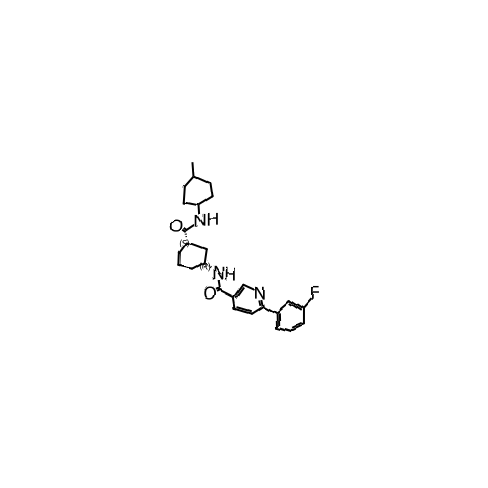 CC1CCC(NC(=O)[C@H]2CCC[C@@H](NC(=O)c3ccc(-c4cccc(F)c4)nc3)C2)CC1